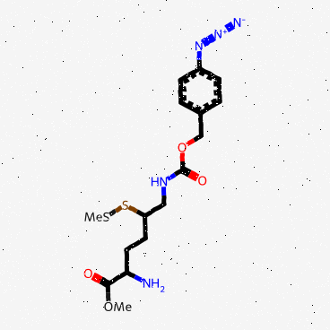 COC(=O)C(N)CCC(CNC(=O)OCc1ccc(N=[N+]=[N-])cc1)SSC